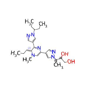 CC/C=C1/C(c2cnn(C(CC)CC)c2)=NC(c2cnn([C@H](C)[C@@H](O)CO)c2)=CN1C